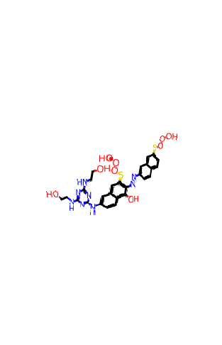 OCCNc1nc(NCCO)nc(Nc2ccc3c(O)c(/N=N/c4ccc5ccc(SOOO)cc5c4)c(SOOO)cc3c2)n1